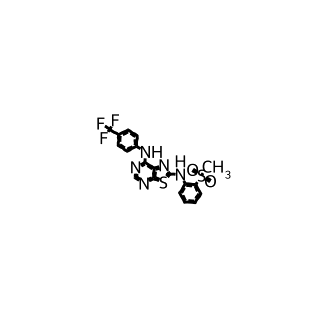 CS(=O)(=O)c1ccccc1Nc1nc2c(Nc3ccc(C(F)(F)F)cc3)ncnc2s1